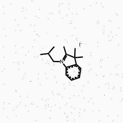 CC1=[N+](CC(C)C)c2ccccc2C1(C)C.[I-]